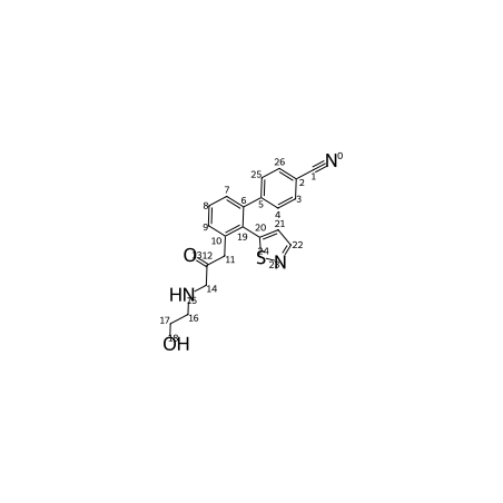 N#Cc1ccc(-c2cccc(CC(=O)CNCCO)c2-c2ccns2)cc1